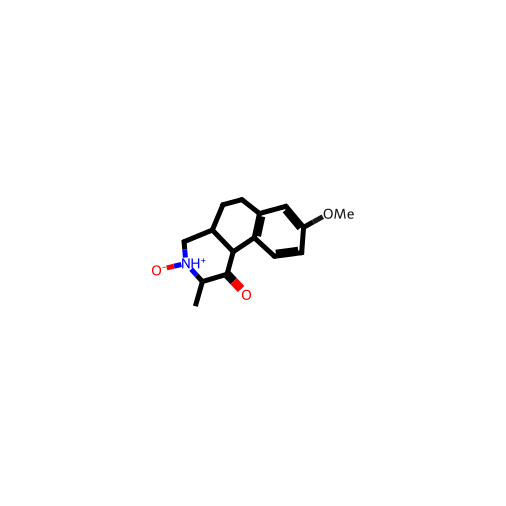 COc1ccc2c(c1)CCC1C[NH+]([O-])C(C)C(=O)C21